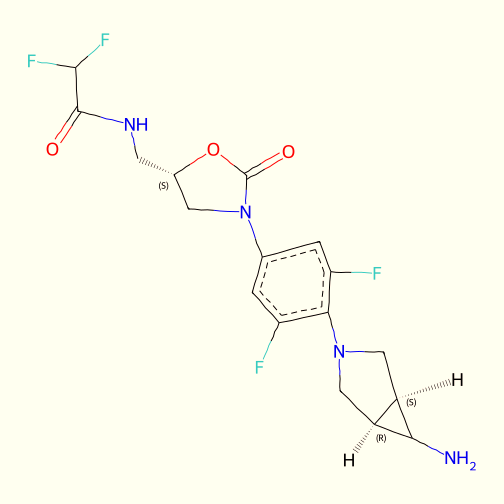 NC1[C@H]2CN(c3c(F)cc(N4C[C@H](CNC(=O)C(F)F)OC4=O)cc3F)C[C@@H]12